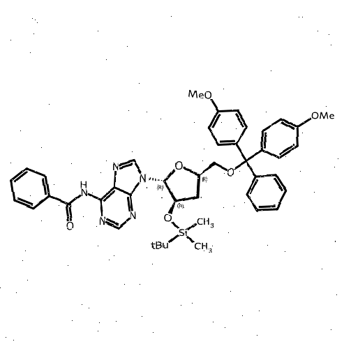 COc1ccc(C(OC[C@H]2[CH][C@@H](O[Si](C)(C)C(C)(C)C)[C@H](n3cnc4c(NC(=O)c5ccccc5)ncnc43)O2)(c2ccccc2)c2ccc(OC)cc2)cc1